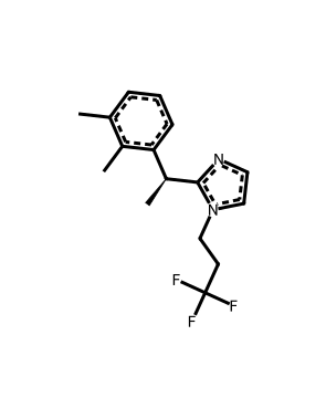 Cc1cccc([C@H](C)c2nccn2CCC(F)(F)F)c1C